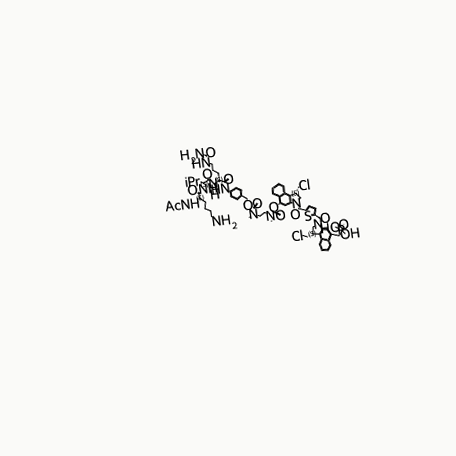 CC(=O)N[C@@H](CCCCN)C(=O)N[C@H](C(=O)N[C@@H](CCCNC(N)=O)C(=O)Nc1ccc(COC(=O)N(C)CCN(C)C(=O)Oc2cc3c(c4ccccc24)[C@H](CCl)CN3C(=O)c2ccc(C(=O)N3C[C@@H](CCl)c4c3cc(CP(=O)(O)O)c3ccccc43)s2)cc1)C(C)C